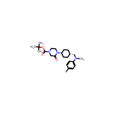 CN(C[C@H]1CC[C@H](N2CCN(C(=O)OC(C)(C)C)CC2=O)CC1)c1ccc(I)cc1